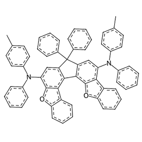 Cc1ccc(N(c2ccccc2)c2cc3c(c4c2oc2ccccc24)-c2c(cc(N(c4ccccc4)c4ccc(C)cc4)c4c2oc2ccccc24)C3(c2ccccc2)c2ccccc2)cc1